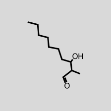 CCCCCCCC(O)C(C)C=O